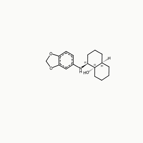 O[C@@]12CCCC[C@@H]1CCC[C@@H]2Nc1ccc2c(c1)OCO2